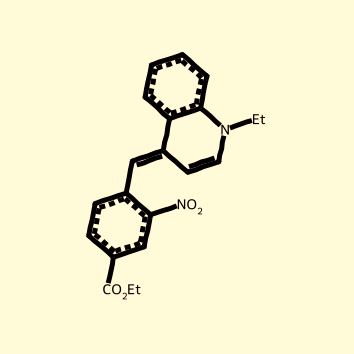 CCOC(=O)c1ccc(C=C2C=CN(CC)c3ccccc32)c([N+](=O)[O-])c1